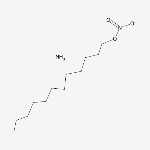 CCCCCCCCCCCCO[N+](=O)[O-].N